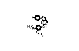 COc1ccc(Nc2ncc3cnn(-c4ccc(I)cc4)c3n2)cc1OC